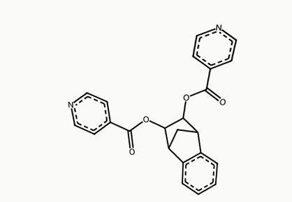 O=C(OC1C2CC(c3ccccc32)C1OC(=O)c1ccncc1)c1ccncc1